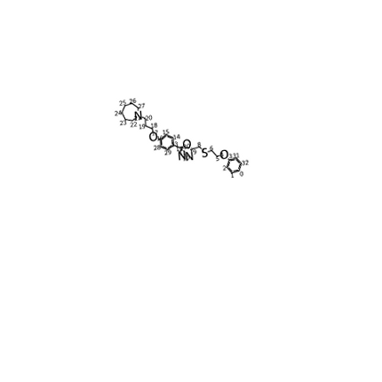 c1ccc(OCCSCc2nnc(-c3ccc(OCCCN4CCCCCC4)cc3)o2)cc1